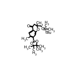 Cc1cc2c(cc1B1OC(C)(C)C(C)(C)O1)OC(C)(CO[Si](C)(C)C(C)(C)C)CC2=O